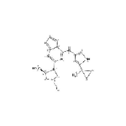 CC1(c2cc(Nc3nc(N4C[C@H](F)C[C@H]4C(=O)O)nc4cccn34)n[nH]2)CC1